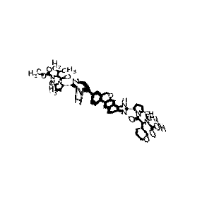 COC(=O)N[C@H](C(=O)N1[C@@H](C)CC[C@H]1c1ncc(-c2ccc3c(c2)COc2cc4c(ccc5nc([C@@H]6CC[C@H](C)N6C(=O)[C@H]([C@@H]6CCCOC6)N(C)C(=O)O)[nH]c54)cc2-3)[nH]1)C(C)C